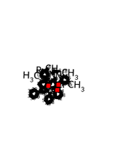 Cc1cc(C)c(N2CCN(c3c(C)cc(C)cc3C)C2=C2C=CC(P(=C3C=C(c4ccccc4)c4ccccc43)(c3ccccc3)c3ccccc3)=C(Cl)C2Cl)c(C)c1.[Ru]